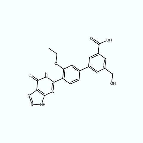 CCOc1cc(-c2cc(CO)cc(C(=O)O)c2)ccc1-c1nc2[nH]nnc2c(=O)[nH]1